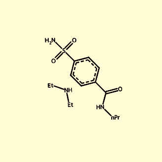 CCCNC(=O)c1ccc(S(N)(=O)=O)cc1.CCNCC